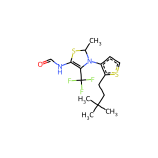 CC1SC(NC=O)=C(C(F)(F)F)N1c1ccsc1CCC(C)(C)C